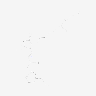 CCCCOC(=O)CCCSCC[C@H]1C(=O)C[C@@H](O)[C@@H]1/C=C/[C@@H](O)Cc1cccc(COC)c1